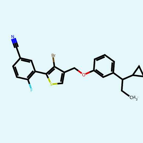 [CH2]C[C](c1cccc(OCc2csc(-c3cc(C#N)ccc3F)c2Br)c1)C1CC1